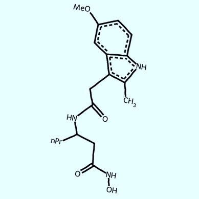 CCCC(CC(=O)NO)NC(=O)Cc1c(C)[nH]c2ccc(OC)cc12